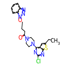 CCc1cc2c(N3CCN(C(=O)CCCOn4nnc5ccccc54)CC3)nc(Cl)nc2s1